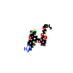 COCCCOC(=O)Cc1ccccc1OCc1cc(-c2ccnc(CN)c2F)c2occ(C(F)(F)F)c2c1